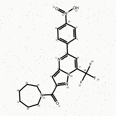 O=C(c1cc2nc(-c3ccc([N+](=O)O)cc3)cc(C(F)(F)F)n2n1)N1CCCCCC1